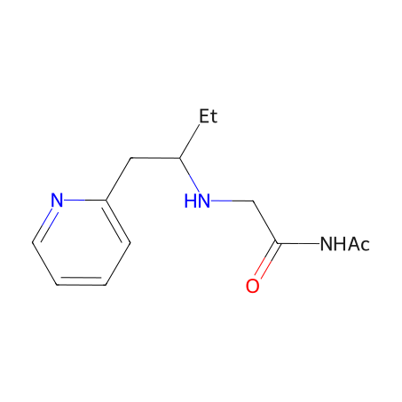 CCC(Cc1ccccn1)NCC(=O)NC(C)=O